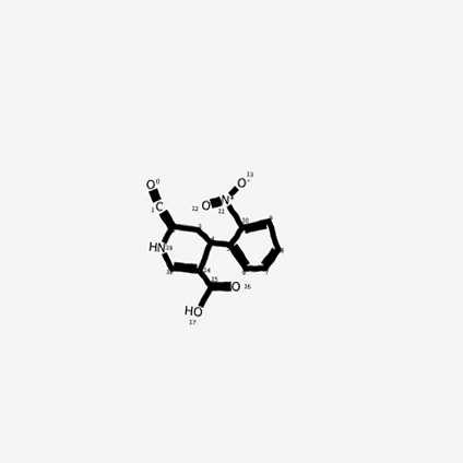 O=C=C1CC(c2ccccc2[N+](=O)[O-])C(C(=O)O)=CN1